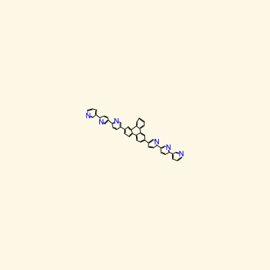 C1=NC(c2cccnc2)C=CC=1c1ccc(-c2ccc3c4ccc(-c5ccc(-c6ccc(-c7cccnc7)nc6)nc5)cc4c4ccccc4c3c2)cn1